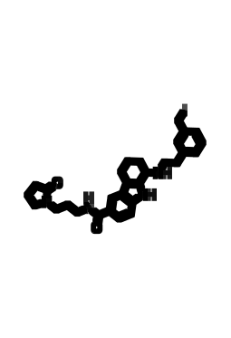 O=C(NCCCN1CCCC1=O)c1ccc2[nH]c3c(c2c1)CCCC3NCCc1cccc(CI)c1